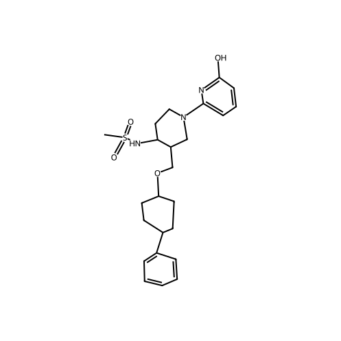 CS(=O)(=O)NC1CCN(c2cccc(O)n2)CC1COC1CCC(c2ccccc2)CC1